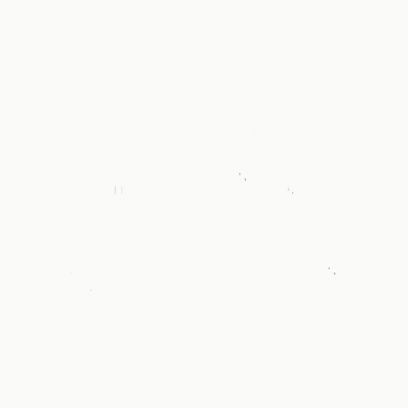 Cc1cc(CN2CCN(Cc3ccncc3)C[C@H]2C(=O)OC(C)C)ccc1-c1ccc(C(O)(C(F)(F)F)C(F)(F)F)cc1